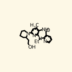 CCN1c2ncccc2C(=O)Nc2c(C)cc(N3CCCCC3CCO)nc21